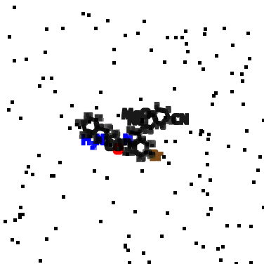 COc1ccc(C#N)cc1C=C(C#N)c1cn(C(=O)C[C@](N)(Cc2ccccc2)C(=O)O)c2ccc(Br)cc12